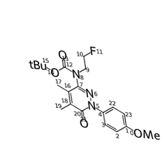 COc1ccc(-n2nc(N(CCF)C(=O)OC(C)(C)C)c(C)c(C)c2=O)cc1